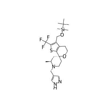 C[C@H]1C[C@@]2(CCN1Cc1cn[nH]c1)OCCc1c2sc(C(F)(F)F)c1CO[Si](C)(C)C(C)(C)C